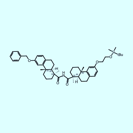 CC(C)(C)[Si](C)(C)OCCOc1ccc2c(c1)[C@@]1(C)CCC[C@](C)(C(=O)NC(=O)[C@@]3(C)CCC[C@]4(C)c5cc(OCc6ccccc6)ccc5CC[C@@H]34)[C@@H]1CC2